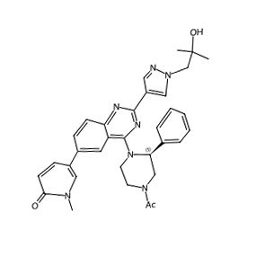 CC(=O)N1CCN(c2nc(-c3cnn(CC(C)(C)O)c3)nc3ccc(-c4ccc(=O)n(C)c4)cc23)[C@@H](c2ccccc2)C1